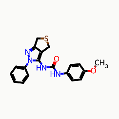 COc1ccc(NC(=O)Nc2c3c(nn2-c2ccccc2)CSC3)cc1